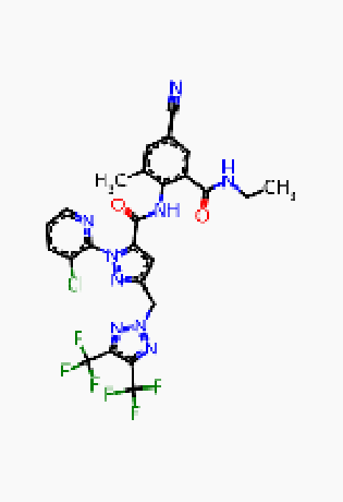 CCNC(=O)c1cc(C#N)cc(C)c1NC(=O)c1cc(Cn2nc(C(F)(F)F)c(C(F)(F)F)n2)nn1-c1ncccc1Cl